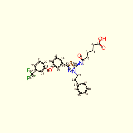 O=C(O)CCCCC(=O)/N=c1\sc(-c2cccc(Oc3cccc(C(F)(F)F)c3)c2)nn1CCc1ccccc1